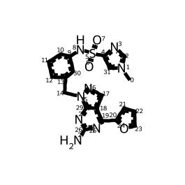 Cn1cnc(S(=O)(=O)Nc2cccc(Cn3ncc4c(-c5ccco5)nc(N)nc43)c2)c1